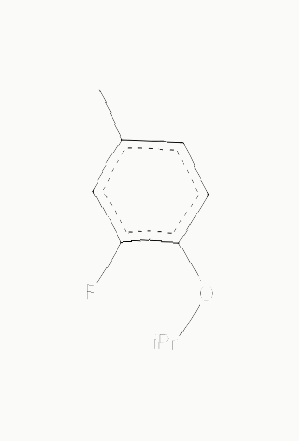 [CH2]c1ccc(OC(C)C)c(F)c1